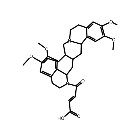 CCC1CN2CCc3cc(OC)c(OC)cc3C2CC1CC1c2cc(OC)c(OC)cc2CCN1C(=O)/C=C/C(=O)O